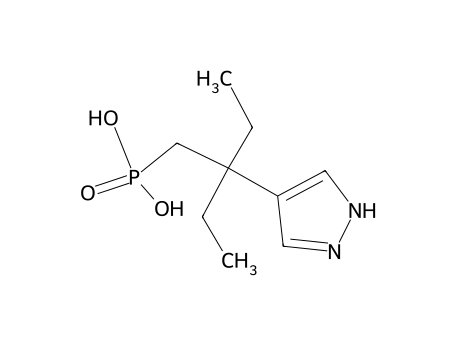 CCC(CC)(CP(=O)(O)O)c1cn[nH]c1